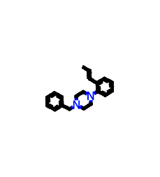 CC=Cc1ccccc1N1CCN(Cc2ccccc2)CC1